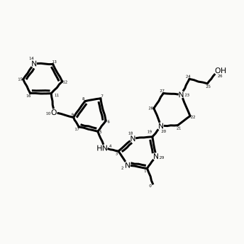 Cc1nc(Nc2cccc(Oc3ccncc3)c2)nc(N2CCN(CCO)CC2)n1